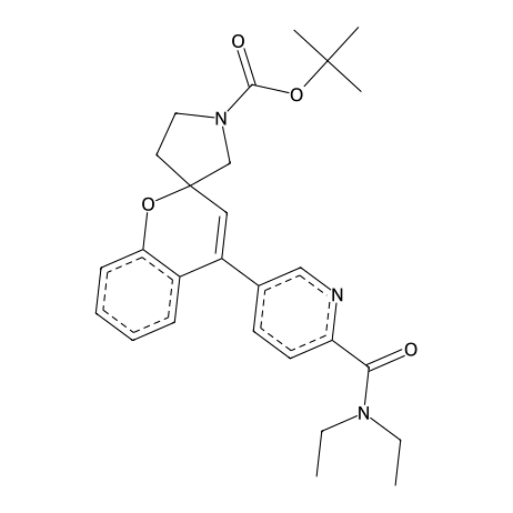 CCN(CC)C(=O)c1ccc(C2=CC3(CCN(C(=O)OC(C)(C)C)C3)Oc3ccccc32)cn1